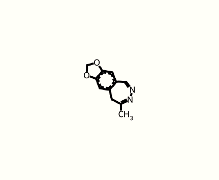 CC1=NN=Cc2cc3c(cc2C1)OCO3